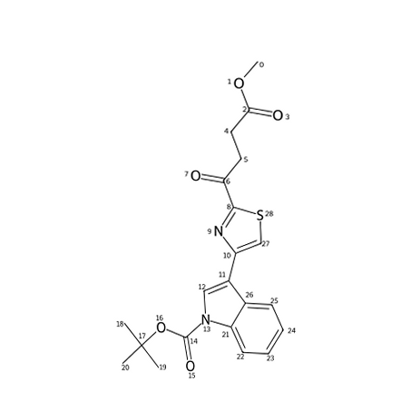 COC(=O)CCC(=O)c1nc(-c2cn(C(=O)OC(C)(C)C)c3ccccc23)cs1